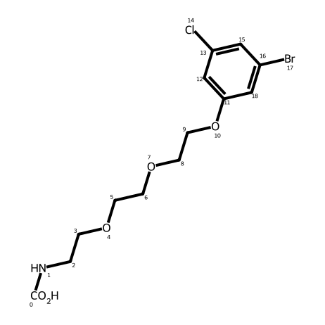 O=C(O)NCCOCCOCCOc1cc(Cl)cc(Br)c1